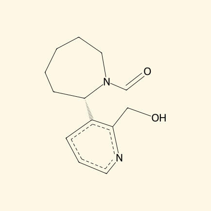 O=CN1CCCCC[C@H]1c1cccnc1CO